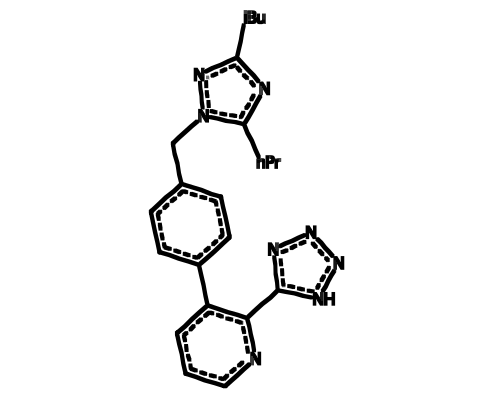 CCCc1nc(C(C)CC)nn1Cc1ccc(-c2cccnc2-c2nnn[nH]2)cc1